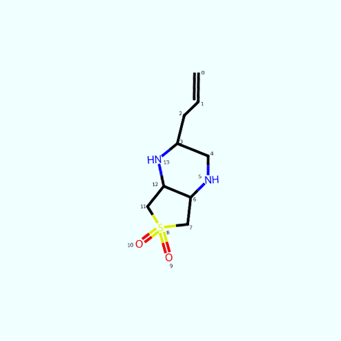 C=CCC1CNC2CS(=O)(=O)CC2N1